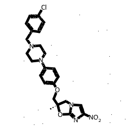 C[C@]1(COc2ccc(N3CCN(Cc4ccc(Cl)cc4)CC3)cc2)Cn2cc([N+](=O)[O-])nc2O1